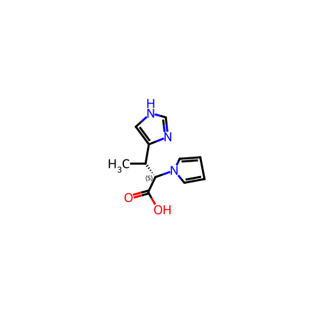 CC(c1c[nH]cn1)[C@@H](C(=O)O)n1cccc1